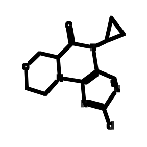 O=C1C2COCCN2c2nc(Cl)ncc2N1C1CC1